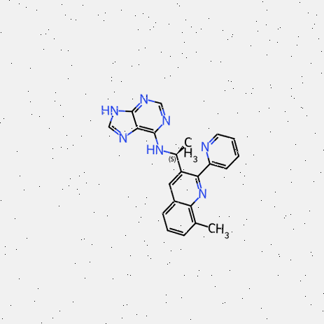 Cc1cccc2cc([C@H](C)Nc3ncnc4[nH]cnc34)c(-c3ccccn3)nc12